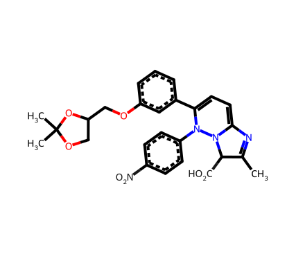 CC1=NC2=CC=C(c3cccc(OCC4COC(C)(C)O4)c3)N(c3ccc([N+](=O)[O-])cc3)N2C1C(=O)O